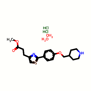 COC(=O)CCc1csc(-c2ccc(OCC3CCNCC3)cc2)n1.Cl.Cl.O.O